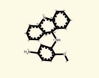 COc1ccc(N)cc1Nc1c2ccccc2nc2ccccc12